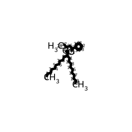 CCCCCCCCCCC(CCCCCCCCCC)C(=O)OC(CCCC)c1ccccc1